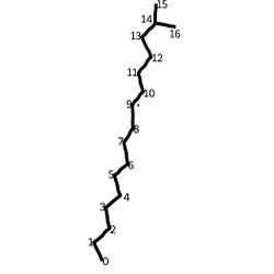 CCCCCCCCC[CH]CCCCC(C)C